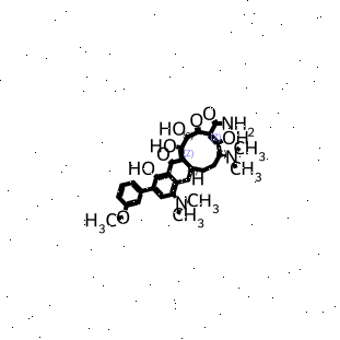 COc1cccc(-c2cc(N(C)C)c3c(c2O)C(=O)/C2=C(\O)[C@H](O)C(=O)/C(C(N)=O)=C(/O)[C@@H](N(C)C)CC[C@@H]2C3)c1